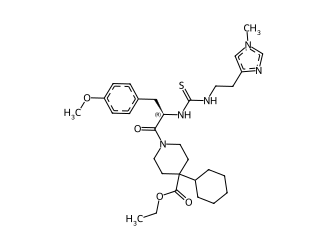 CCOC(=O)C1(C2CCCCC2)CCN(C(=O)[C@@H](Cc2ccc(OC)cc2)NC(=S)NCCc2cn(C)cn2)CC1